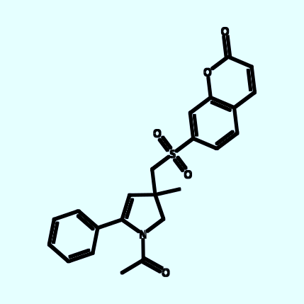 CC(=O)N1CC(C)(CS(=O)(=O)c2ccc3ccc(=O)oc3c2)C=C1c1ccccc1